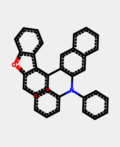 c1ccc(N(c2ccccc2)c2cc3ccccc3cc2-c2cccc3oc4ccccc4c23)cc1